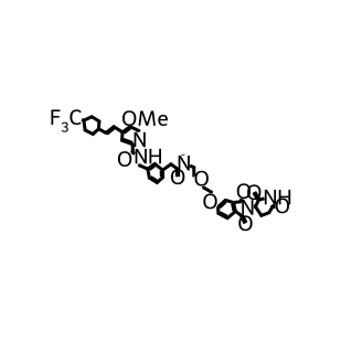 COc1cnc(C(=O)NCc2cccc(CC(=O)N(C)CCOCCOc3ccc4c(c3)C(=O)N(C3CCC(=O)NC3=O)C4=O)c2)cc1C=CC1CCC(C(F)(F)F)CC1